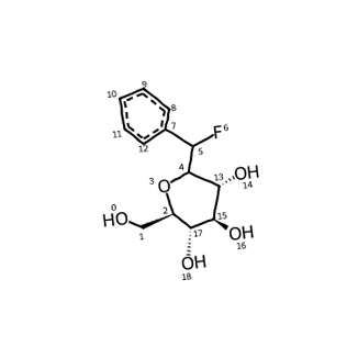 OC[C@H]1OC(C(F)c2ccccc2)[C@H](O)[C@@H](O)[C@@H]1O